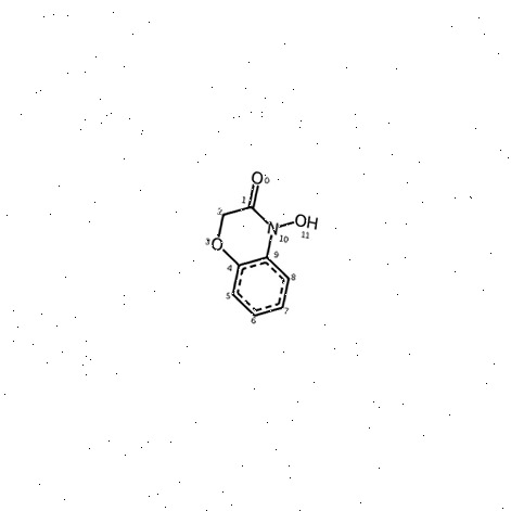 O=C1COc2ccccc2N1O